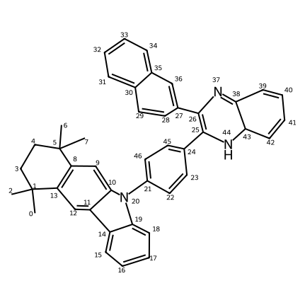 CC1(C)CCC(C)(C)c2cc3c(cc21)c1ccccc1n3-c1ccc(C2=C(c3ccc4ccccc4c3)N=C3C=CC=CC3N2)cc1